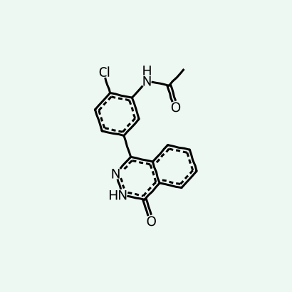 CC(=O)Nc1cc(-c2n[nH]c(=O)c3ccccc23)ccc1Cl